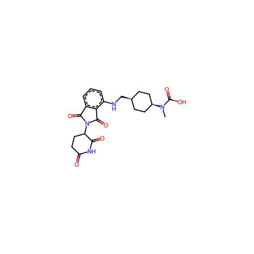 CN(C(=O)O)[C@H]1CC[C@@H](CNc2cccc3c2C(=O)N(C2CCC(=O)NC2=O)C3=O)CC1